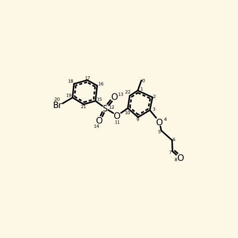 Cc1cc(OCCC=O)cc(OS(=O)(=O)c2cccc(Br)c2)c1